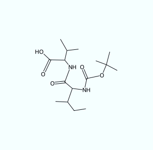 CCC(C)C(NC(=O)OC(C)(C)C)C(=O)NC(C(=O)O)C(C)C